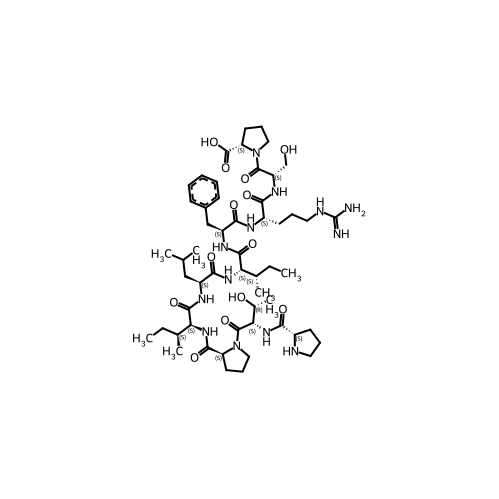 CC[C@H](C)[C@H](NC(=O)[C@H](CC(C)C)NC(=O)[C@@H](NC(=O)[C@@H]1CCCN1C(=O)[C@@H](NC(=O)[C@@H]1CCCN1)[C@@H](C)O)[C@@H](C)CC)C(=O)N[C@@H](Cc1ccccc1)C(=O)N[C@@H](CCCNC(=N)N)C(=O)N[C@@H](CO)C(=O)N1CCC[C@H]1C(=O)O